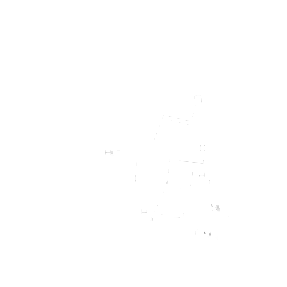 COC(C)C(C)(N)C1(c2ccc(Cl)cc2)CCC1.Cl